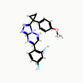 COc1ccc(C2(c3nnc4nc(-c5ccc(F)cc5F)cnn34)CC2)cc1